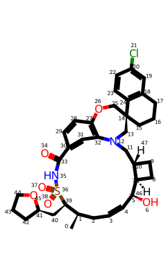 C[C@@H]1C/C=C\[C@H](O)[C@@H]2CC[C@H]2CN2C[C@@]3(CCCc4cc(Cl)ccc43)COc3ccc(cc32)C(=O)NS(=O)(=O)[C@@H]1C[C@H]1CCCO1